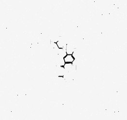 CC(=O)C(C)OC(=O)c1cc(N(C)CC(F)F)c(F)cc1Cl